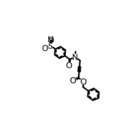 CN(CC#CC(=O)OCc1ccccc1)C(=O)c1ccc([SH](=O)=O)cc1